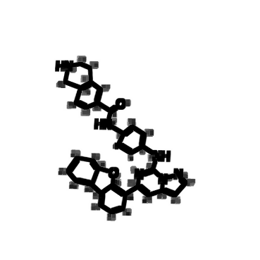 O=C(Nc1ccc(Nc2nc(-c3cccc4c3oc3ccccc34)cc3ccnn23)cc1)c1ccc2c(c1)CCNC2